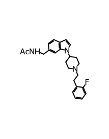 CC(=O)NCc1ccc2ccn(C3CCN(CCc4ccccc4F)CC3)c2c1